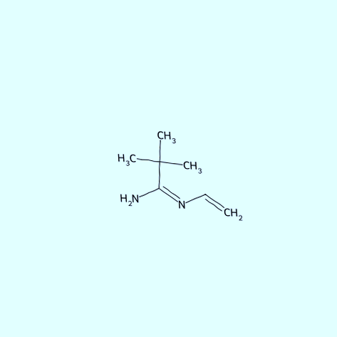 C=C/N=C(/N)C(C)(C)C